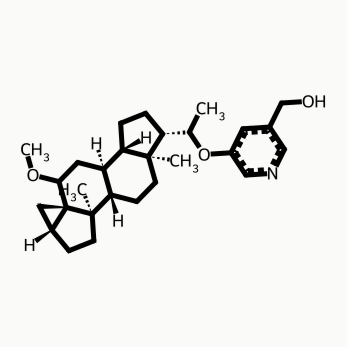 COC1C[C@H]2[C@@H]3CC[C@H](C(C)Oc4cncc(CO)c4)[C@@]3(C)CC[C@@H]2[C@@]2(C)CC[C@@H]3C[C@]132